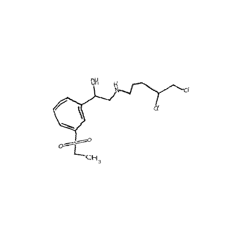 CCS(=O)(=O)c1cccc(C(O)CNCCC(Cl)CCl)c1